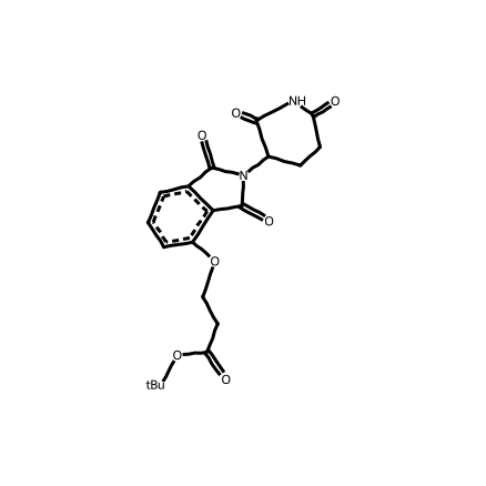 CC(C)(C)OC(=O)CCOc1cccc2c1C(=O)N(C1CCC(=O)NC1=O)C2=O